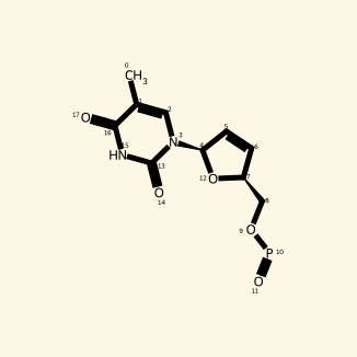 Cc1cn([C@H]2C=C[C@@H](COP=O)O2)c(=O)[nH]c1=O